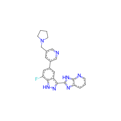 Fc1cc(-c2cncc(CN3CCCC3)c2)cc2c(-c3nc4cccnc4[nH]3)n[nH]c12